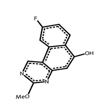 COc1ncc2c(cc(O)c3ccc(F)cc32)n1